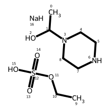 CC(O)N1CCNCC1.CCOS(=O)(=O)O.[NaH]